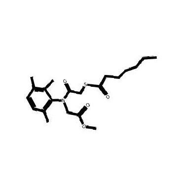 CCCCCCC(=O)SCC(=O)N(CC(=O)OC)c1c(C)ccc(C)c1C